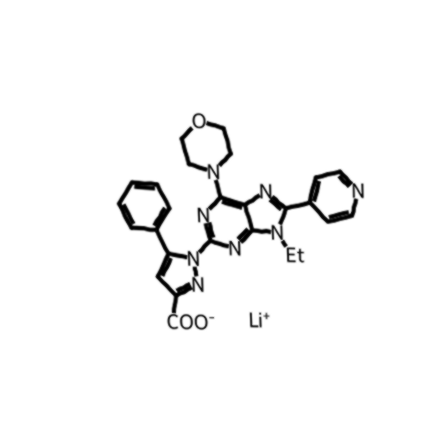 CCn1c(-c2ccncc2)nc2c(N3CCOCC3)nc(-n3nc(C(=O)[O-])cc3-c3ccccc3)nc21.[Li+]